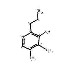 Cc1cnc(CCN)c(O)c1C